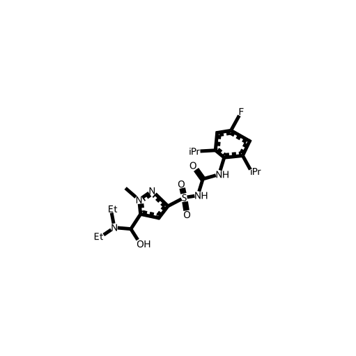 CCN(CC)C(O)c1cc(S(=O)(=O)NC(=O)Nc2c(C(C)C)cc(F)cc2C(C)C)nn1C